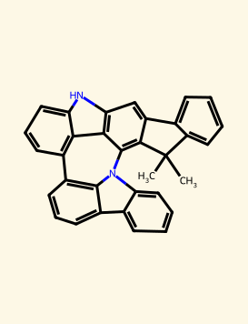 CC1(C)c2ccccc2-c2cc3[nH]c4cccc5c6cccc7c8ccccc8n(c(c21)c3c45)c67